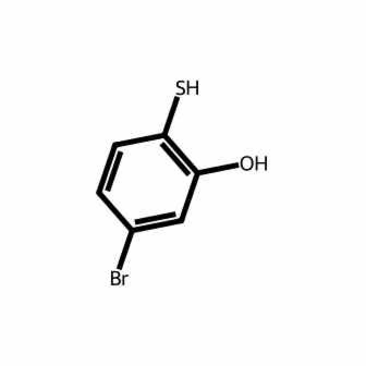 Oc1cc(Br)ccc1S